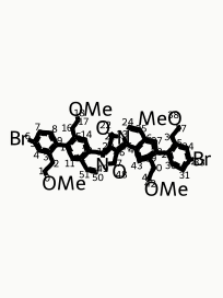 COCCc1cc(Br)ccc1-c1cc2c(cc1CCOC)C1=C3C(=O)N4C=Cc5cc(-c6ccc(Br)cc6CCOC)c(CCOC)cc5C4=C3C(=O)N1C=C2